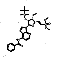 CO[C@H]1[C@@H](O[Si](C)(C)C(C)(C)C)[C@H](n2cnc3c(NC(=O)c4ccccc4)ncnc32)O[C@@H]1C=CP(=O)(OC)OC